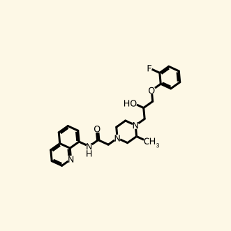 CC1CN(CC(=O)Nc2cccc3cccnc23)CCN1CC(O)COc1ccccc1F